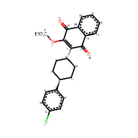 CCOC(=O)OC1=C([C@H]2CC[C@H](c3ccc(Cl)cc3)CC2)C(=O)c2ccccc2C1=O